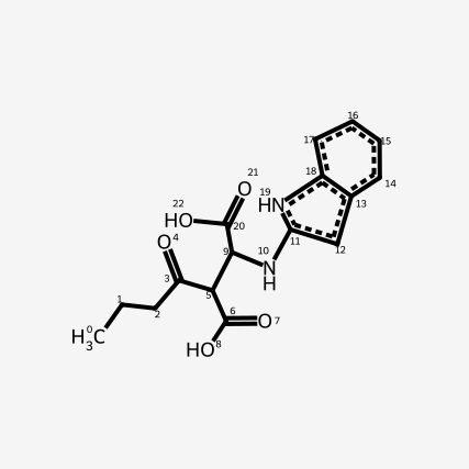 CCCC(=O)C(C(=O)O)C(Nc1cc2ccccc2[nH]1)C(=O)O